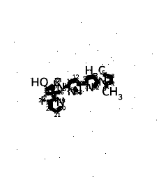 Cc1ccc(C)n1-c1ccc(-c2ccc(N(CC3(c4ncccc4F)CCC3)C(=O)O)nn2)nc1